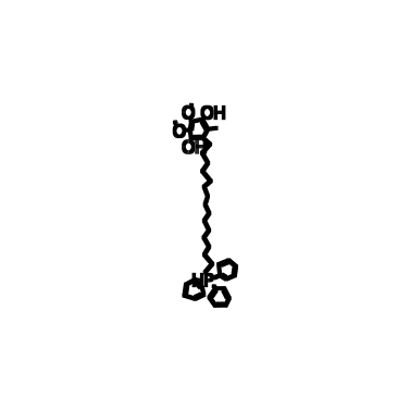 COc1c(O)c(C)c(CCCCCCCCCCCCCCCC[PH](c2ccccc2)(c2ccccc2)c2ccccc2)c(O)c1OC